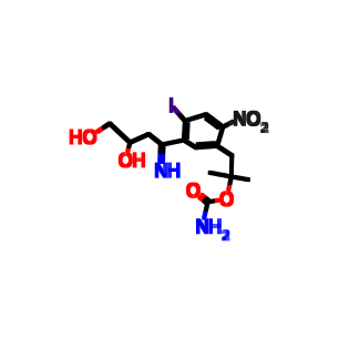 CC(C)(Cc1cc(C(=N)CC(O)CO)c(I)cc1[N+](=O)[O-])OC(N)=O